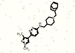 Cc1nn(C)cc1-c1ccc(NCC2CCN(CC3CC4C=CC3C4)CC2)nn1